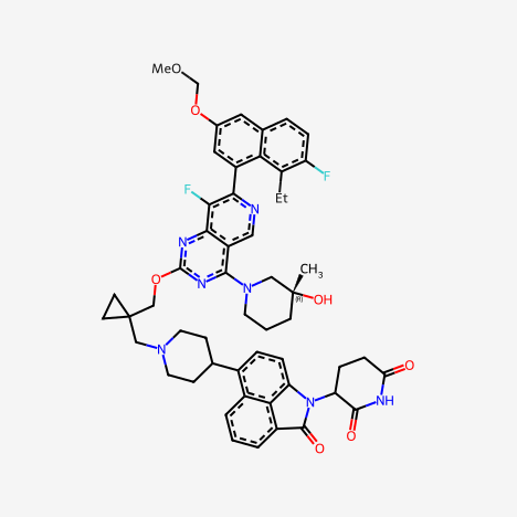 CCc1c(F)ccc2cc(OCOC)cc(-c3ncc4c(N5CCC[C@@](C)(O)C5)nc(OCC5(CN6CCC(c7ccc8c9c(cccc79)C(=O)N8C7CCC(=O)NC7=O)CC6)CC5)nc4c3F)c12